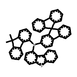 CC1(C)c2ccccc2-c2c(N(c3ccc4c(c3)C3(c5ccccc5-c5ccccc53)c3ccccc3-4)c3cccc4sc5ccccc5c34)cccc21